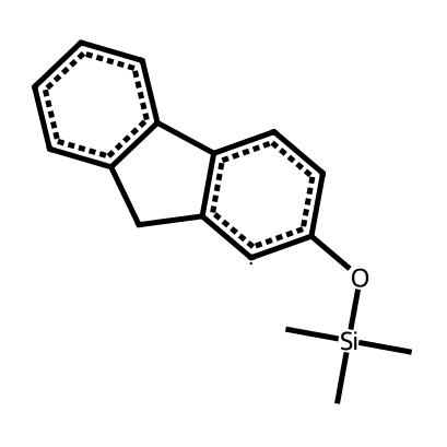 C[Si](C)(C)Oc1[c]c2c(cc1)-c1ccccc1C2